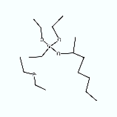 CCCCCC(C)O[Si](CC)(OCC)OCC.CC[P]CC